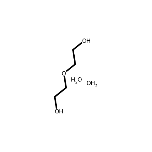 O.O.OCCOCCO